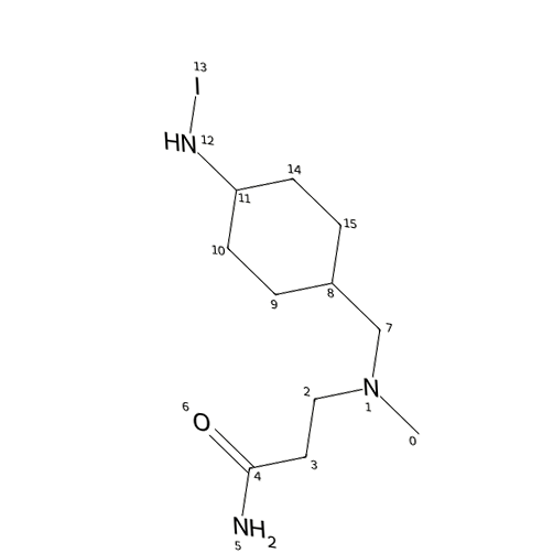 CN(CCC(N)=O)CC1CCC(NI)CC1